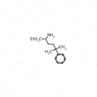 CCOC(=O)[C@@H](N)CCC(C)(C)c1ccccc1